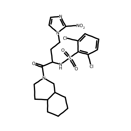 O=C(C(CCn1ccnc1[N+](=O)[O-])NS(=O)(=O)c1c(Cl)cccc1Cl)N1CCC2CCCCC2C1